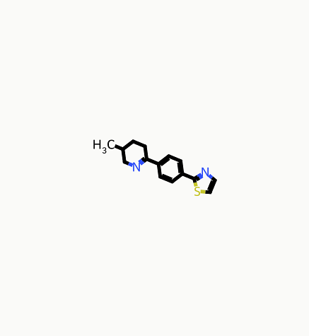 CC1CCC(c2ccc(-c3nccs3)cc2)=NC1